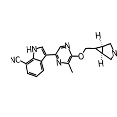 Cc1nc(-c2c[nH]c3c(C#N)cccc23)cnc1OCC1[C@H]2CNC[C@@H]12